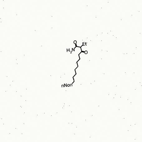 [CH2]CC(C(N)=O)C(=O)CCCCCCCCCCCCCCCCC